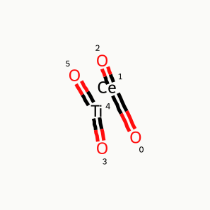 [O]=[Ce]=[O].[O]=[Ti]=[O]